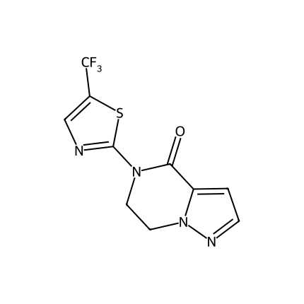 O=C1c2ccnn2CCN1c1ncc(C(F)(F)F)s1